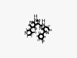 Cc1ccncc1-c1cnc2[nH]nc(-c3nc4c(-c5cccc(F)c5)nccc4[nH]3)c2c1F